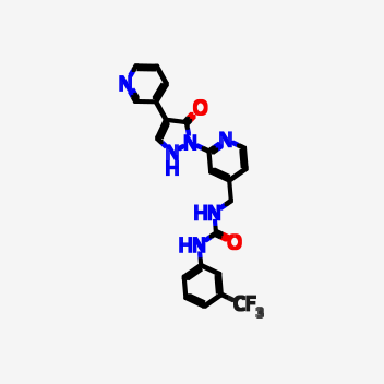 O=C(NCc1ccnc(-n2[nH]cc(-c3cccnc3)c2=O)c1)Nc1cccc(C(F)(F)F)c1